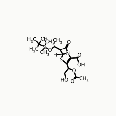 CC(=O)OC(CO)C1=C(C(=O)O)N2C(=O)[C@H]([C@@H](C)O[Si](C)(C)C(C)(C)C)[C@H]2S1